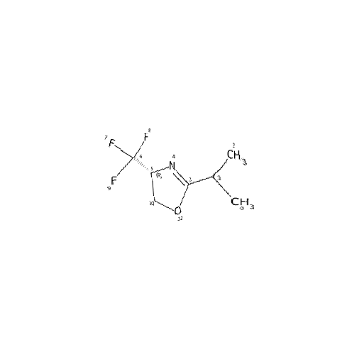 CC(C)C1=N[C@@H](C(F)(F)F)CO1